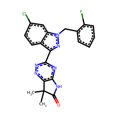 CC1(C)C(=O)Nc2nc(-c3nn(Cc4ccccc4F)c4cc(Cl)ccc34)nnc21